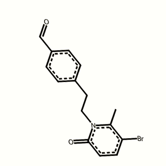 Cc1c(Br)ccc(=O)n1CCc1ccc(C=O)cc1